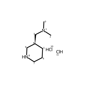 CN(C)C[C@H]1CCCNC1.Cl.Cl